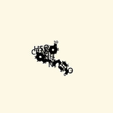 CC(=O)N1CCN(Cc2cnc(-c3cc4ccc(Cl)c(N(S)S(=O)(=O)c5cccc(C)c5)c4[nH]3)s2)CC1